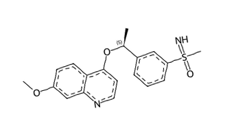 COc1ccc2c(O[C@@H](C)c3cccc(S(C)(=N)=O)c3)ccnc2c1